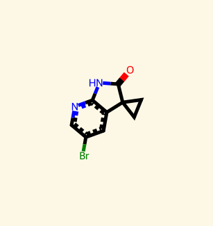 O=C1Nc2ncc(Br)cc2C12CC2